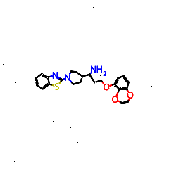 NC(CCOc1cccc2c1OCCO2)C1CCN(c2nc3ccccc3s2)CC1